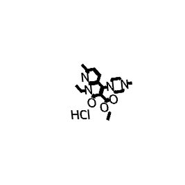 CCOC(=O)c1c(N2CCN(C)CC2)c2ccc(C)nc2n(CC)c1=O.Cl